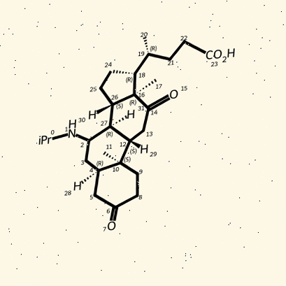 CC(C)NC1C[C@@H]2CC(=O)CC[C@]2(C)[C@H]2CC(=O)[C@]3(C)[C@@H]([C@H](C)CCC(=O)O)CC[C@H]3[C@H]12